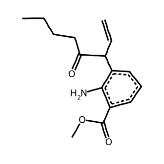 C=CC(C(=O)CCCC)c1cccc(C(=O)OC)c1N